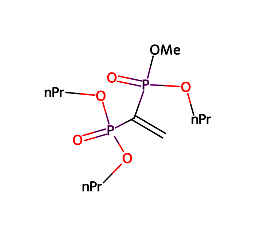 C=C(P(=O)(OC)OCCC)P(=O)(OCCC)OCCC